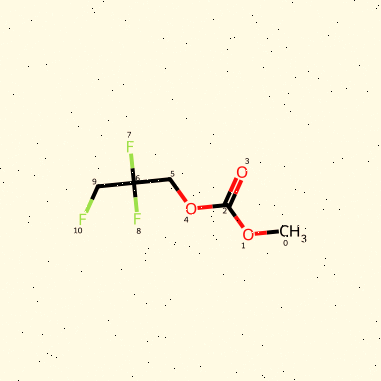 COC(=O)OCC(F)(F)CF